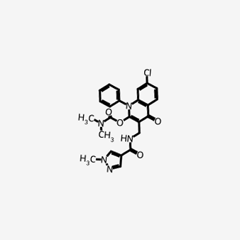 CN(C)C(=O)Oc1c(CNC(=O)c2cnn(C)c2)c(=O)c2ccc(Cl)cc2n1-c1ccccc1